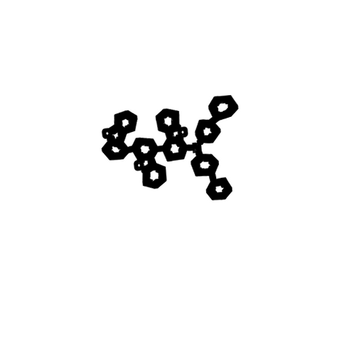 c1ccc(-c2ccc(N(c3ccc(-c4ccccc4)cc3)c3ccc(-c4ccc(-c5cccc6oc7ccccc7c56)c5oc6ccccc6c45)c4c3oc3ccccc34)cc2)cc1